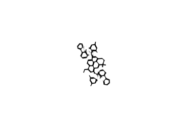 CCc1cc(N(c2ccc(C)cc2C)c2cccc3c2oc2ccccc23)c2cc3c4c(cc(N(c5ccc(C)cc5C)c5cccc6c5oc5ccccc56)c5ccc1c2c54)CCC3(C)C